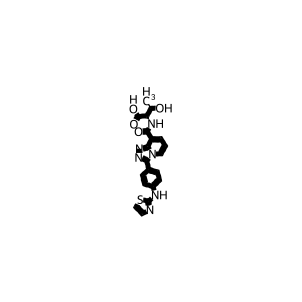 C[C@H](O)[C@H](NC(=O)c1cccn2c(-c3ccc(Nc4nccs4)cc3)nnc12)C(=O)O